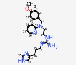 COc1ccc(CN(CCNC(N)=NCCCc2c[nH]cn2)c2ccccn2)cc1